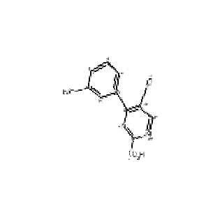 N#Cc1cccc(-c2nc(C(=O)O)ncc2Cl)c1